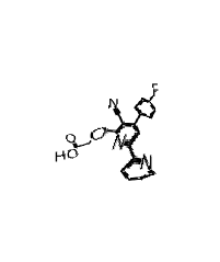 N#Cc1c(-c2ccc(F)cc2)cc(-c2ccccn2)nc1OCC(=O)O